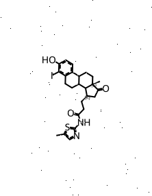 Cc1cnc(NC(=O)CC[C@@H]2CC(=O)[C@@]3(C)CCC4c5ccc(O)c(I)c5CCC4C23)s1